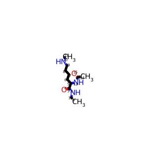 CCNC(=O)C(CCCCNC)NC(C)=O